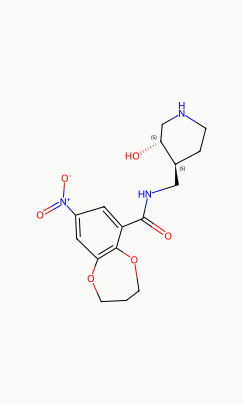 O=C(NC[C@@H]1CCNC[C@H]1O)c1cc([N+](=O)[O-])cc2c1OCCCO2